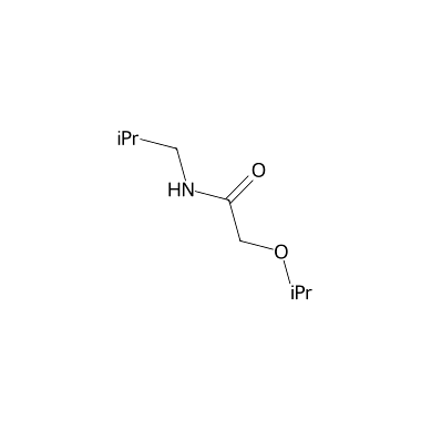 CC(C)CNC(=O)COC(C)C